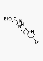 CCOC(=O)c1cn(Cc2cc3cc(C4CC4)cnc3s2)nn1